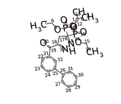 CCOP(=O)(OCC)C1(P(=O)(OCC)OCC)CC(C(=O)c2cccc(-c3ccccc3)c2)=NN1